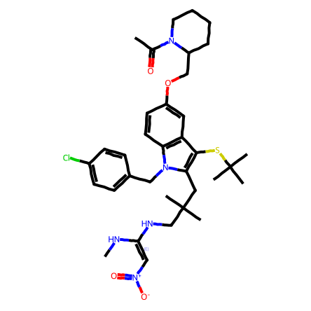 CN/C(=C\[N+](=O)[O-])NCC(C)(C)Cc1c(SC(C)(C)C)c2cc(OCC3CCCCN3C(C)=O)ccc2n1Cc1ccc(Cl)cc1